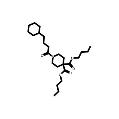 CCCCOC(=O)C1(C(=O)OCCCC)CCN(C(=O)CCCC2CCCCC2)CC1